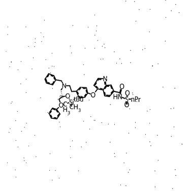 CCCS(=O)(=O)NC(=O)c1ccc2c(Oc3ccc(CCN(Cc4ccccc4)C[C@@H](COc4ccccc4)O[Si](C)(C)C(C)(C)C)cc3)ccnc2c1